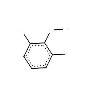 Fc1[c]ccc(F)c1OC(F)(F)F